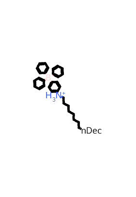 CCCCCCCCCCCCCCCCCC[NH3+].c1ccc([B-](c2ccccc2)(c2ccccc2)c2ccccc2)cc1